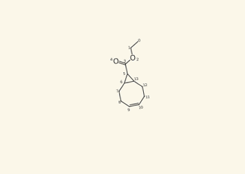 CCOC(=O)C1C2CC/C=C\CCC21